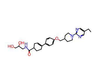 CCc1cnc(N2CCC(COc3ccc(C4=CCC(C(=O)NCC(O)CO)CC4)cc3)CC2)nc1